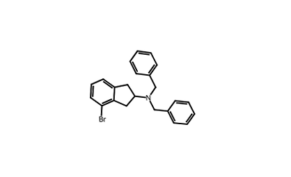 Brc1cccc2c1CC(N(Cc1ccccc1)Cc1ccccc1)C2